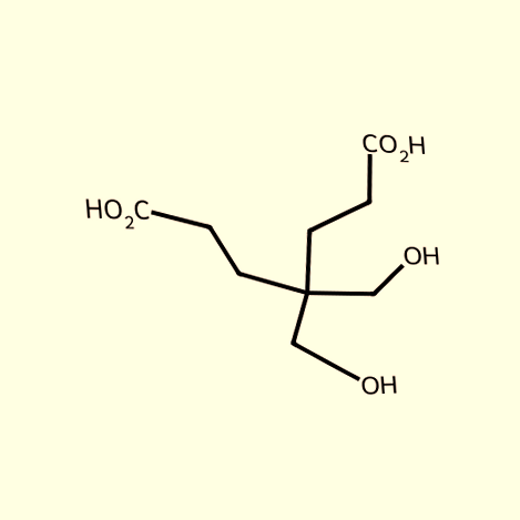 O=C(O)CCC(CO)(CO)CCC(=O)O